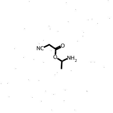 CC(N)OC(=O)CC#N